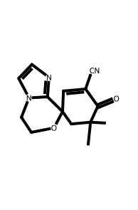 CC1(C)CC2(C=C(C#N)C1=O)OCCn1ccnc12